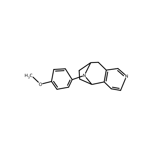 COc1ccc(N2C3CCC2c2ccncc2C3)cc1